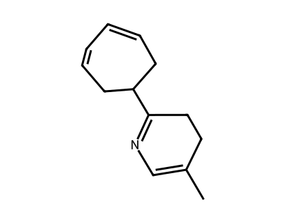 CC1=CN=C(C2CC=CC=CC2)CC1